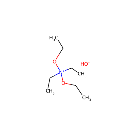 CCO[N+](CC)(CC)OCC.[OH-]